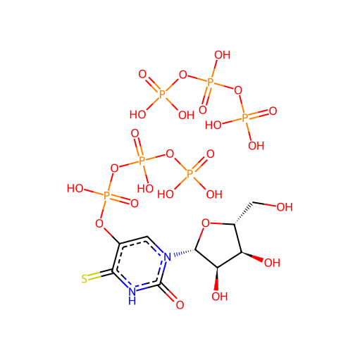 O=P(O)(O)OP(=O)(O)OP(=O)(O)O.O=c1[nH]c(=S)c(OP(=O)(O)OP(=O)(O)OP(=O)(O)O)cn1[C@@H]1O[C@H](CO)[C@@H](O)[C@H]1O